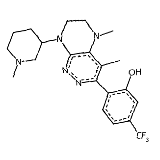 Cc1c(-c2ccc(C(F)(F)F)cc2O)nnc2c1N(C)CCN2C1CCCN(C)C1